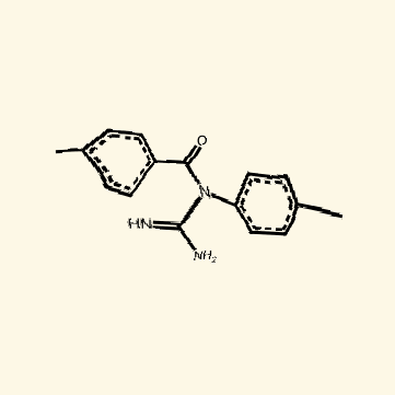 Cc1ccc(C(=O)N(C(=N)N)c2ccc(C)cc2)cc1